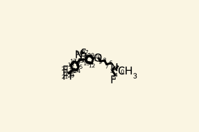 CCN(CCF)CCCCOc1ccc2c(-c3ccc(C(F)(F)F)cc3)nsc2c1